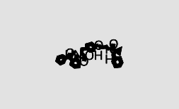 O=C(c1ccccc1)c1ccccc1NC(Cc1ccc(OCCNC(=O)C2(Cc3ccccc3)CC2)cc1)C(=O)O